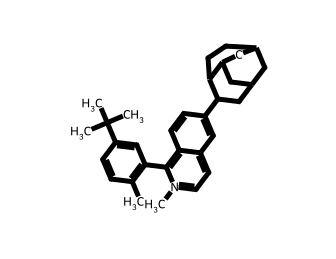 Cc1ccc(C(C)(C)C)cc1-c1c2ccc(C3CC4CC5CCC3C(C5)C4)cc2cc[n+]1C